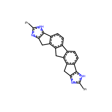 CC(C)c1nc2c([nH]1)-c1ccc3c(c1C2)Cc1c-3ccc2c1Cc1nc(C(C)C)[nH]c1-2